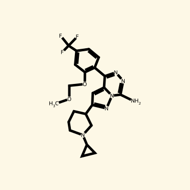 COCOc1cc(C(F)(F)F)ccc1-c1nnc(N)n2nc(C3CCCN(C4CC4)C3)cc12